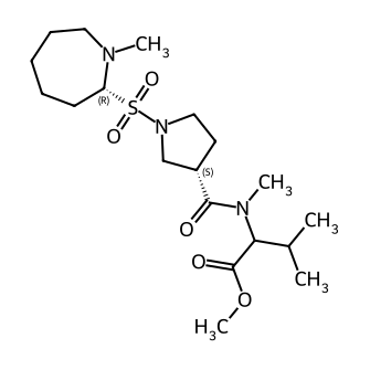 COC(=O)C(C(C)C)N(C)C(=O)[C@H]1CCN(S(=O)(=O)[C@@H]2CCCCCN2C)C1